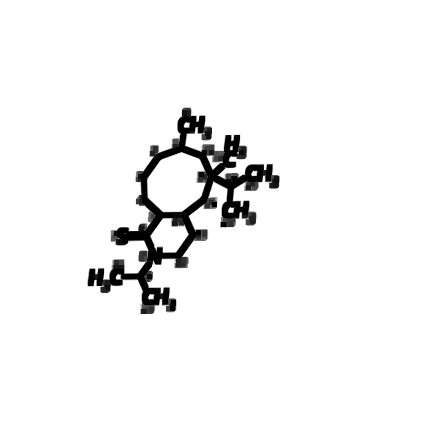 CC1CCCC2C(=S)N(C(C)C)CCC2CC(C)(C(C)C)C1